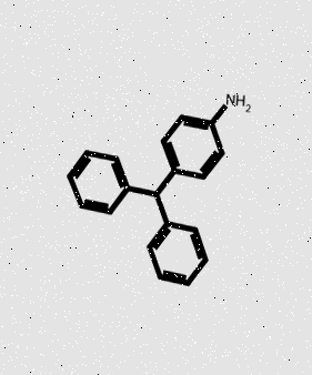 Nc1ccc(C(c2ccccc2)c2ccccc2)cc1